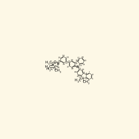 CC1(C)c2ccccc2-c2cc(-n3c4ccccc4c4cc(-c5cccc(B6CC(C)(C)C(C)(C)O6)c5)ccc43)ccc21